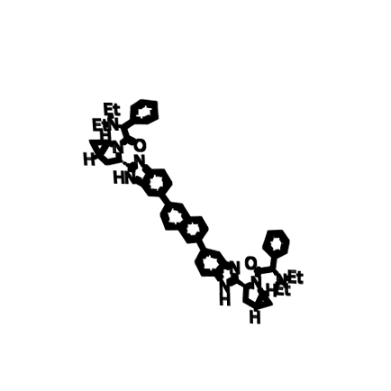 CCN(CC)[C@@H](C(=O)N1[C@@H]2C[C@@H]2C[C@H]1c1nc2cc(-c3ccc4cc(-c5ccc6nc([C@@H]7C[C@@H]8C[C@H]8N7C(=O)[C@@H](c7ccccc7)N(CC)CC)[nH]c6c5)ccc4c3)ccc2[nH]1)c1ccccc1